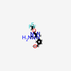 Nc1nc(OCC(F)(F)F)c2ncn([C@H]3C=C[C@@H](C[O])C3)c2n1